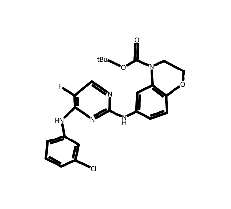 CC(C)(C)OC(=O)N1CCOc2ccc(Nc3ncc(F)c(Nc4cccc(Cl)c4)n3)cc21